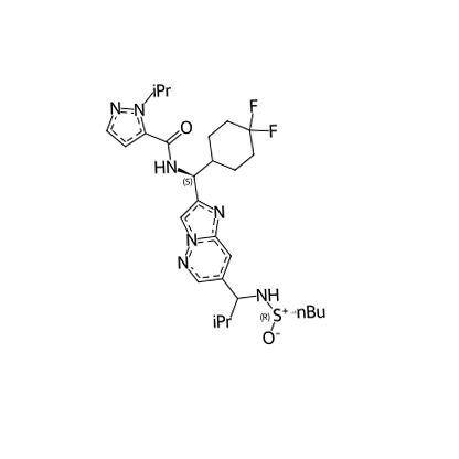 CCCC[S@+]([O-])NC(c1cnn2cc([C@@H](NC(=O)c3ccnn3C(C)C)C3CCC(F)(F)CC3)nc2c1)C(C)C